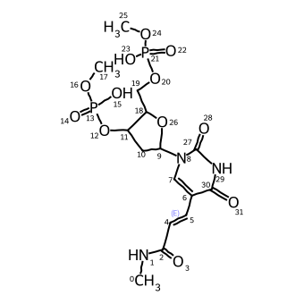 CNC(=O)/C=C/c1cn(C2CC(OP(=O)(O)OC)C(COP(=O)(O)OC)O2)c(=O)[nH]c1=O